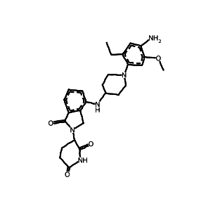 CCc1cc(N)c(OC)cc1N1CCC(Nc2cccc3c2CN(C2CCC(=O)NC2=O)C3=O)CC1